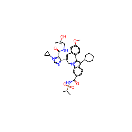 COc1ccc2c(c1)C=C(c1ncn(C3CC3)c1C(=O)NC[C@@H](C)O)Cn1c-2c(C2CCCCC2)c2ccc(C(=O)NS(=O)(=O)C(C)C)cc21